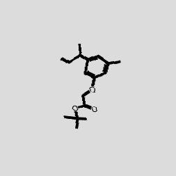 CCC(C)c1cc(C)cc(OCC(=O)OC(C)(C)C)c1